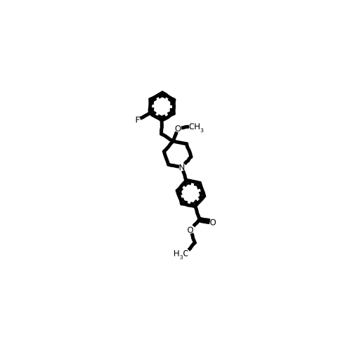 CCOC(=O)c1ccc(N2CCC(Cc3ccccc3F)(OC)CC2)cc1